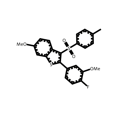 COc1ccc2c(S(=O)(=O)c3ccc(C)cc3)c(-c3ccc(F)c(OC)c3)sc2c1